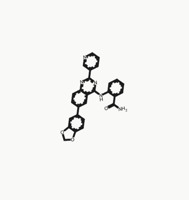 NC(=O)c1ccccc1Nc1nc(-c2cccnc2)nc2ccc(-c3ccc4c(c3)OCO4)cc12